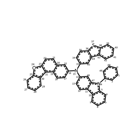 c1ccc(-n2c3ccccc3c3ccc(N(c4ccc5c(ccc6oc7ccccc7c65)c4)c4ccc5sc6ccccc6c5c4)cc32)cc1